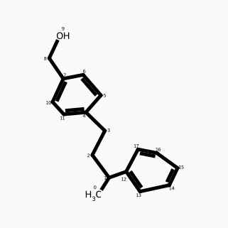 CC(CCc1ccc(CO)cc1)c1ccccc1